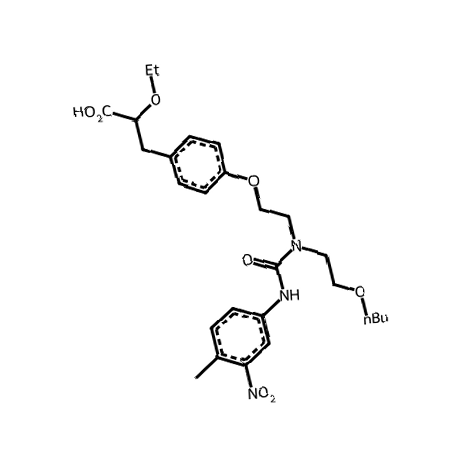 CCCCOCCN(CCOc1ccc(CC(OCC)C(=O)O)cc1)C(=O)Nc1ccc(C)c([N+](=O)[O-])c1